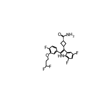 NC(=O)[C@H]1C[C@@H](c2c(-c3ccc(F)c(OCCC(F)F)c3)[nH]c3c(F)cc(F)cc32)C1